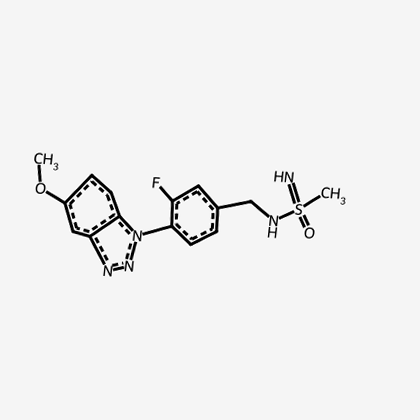 COc1ccc2c(c1)nnn2-c1ccc(CNS(C)(=N)=O)cc1F